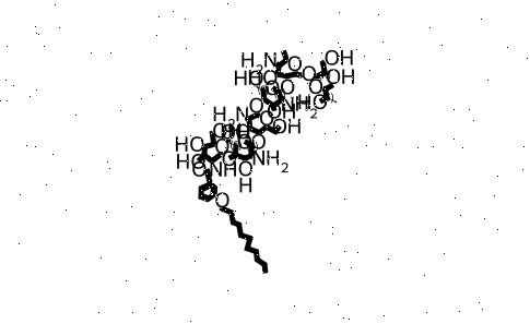 CCCCCCCCCCCOc1cccc(C(=O)NC2C(OC3C(O)C(N)[C@H](OC4C(CO)OC(OC5C(O)C(N)[C@H](OC6C(COC(OC(C)[C@H](C)O)[C@H](O)CO)OC(C)C(N)C6O)O[C@H]5CO)C(N)C4O)O[C@H]3CO)OC(CO)C(O)C2O)c1